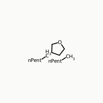 C1CCOC1.CCCCCC.CCCCCC